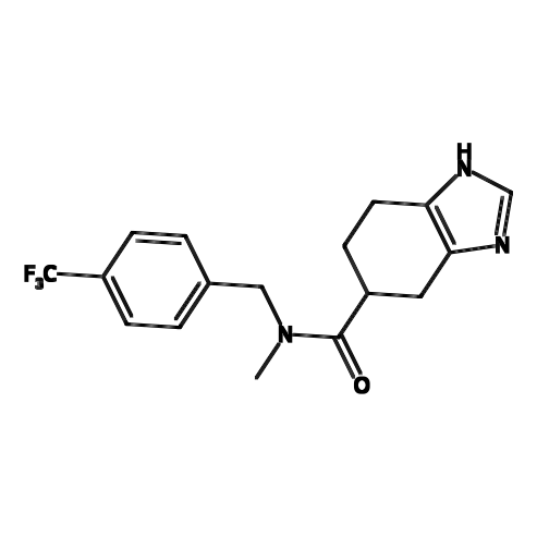 CN(Cc1ccc(C(F)(F)F)cc1)C(=O)C1CCc2[nH]cnc2C1